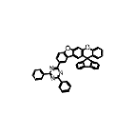 c1ccc(-c2nc(-c3ccccc3)nc(-c3ccc4oc5cc6c(cc5c4c3)C3(c4ccccc4O6)c4ccccc4-c4ccccc43)n2)cc1